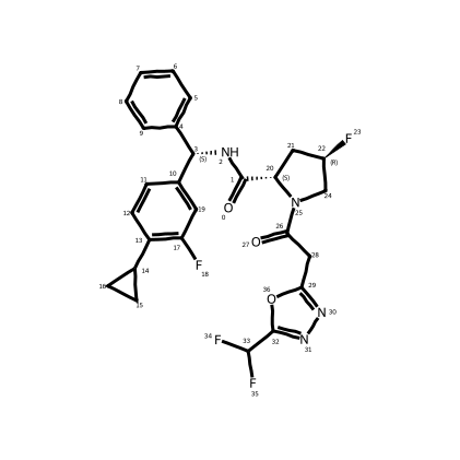 O=C(N[C@@H](c1ccccc1)c1ccc(C2CC2)c(F)c1)[C@@H]1C[C@@H](F)CN1C(=O)Cc1nnc(C(F)F)o1